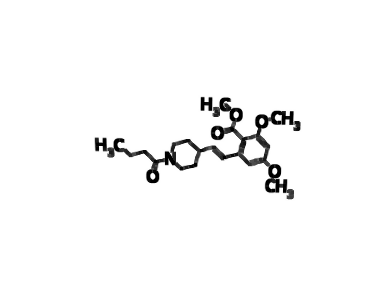 CCCC(=O)N1CCC(/C=C/c2cc(OC)cc(OC)c2C(=O)OC)CC1